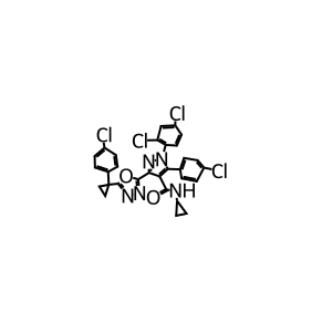 O=C(NC1CC1)c1c(-c2nnc(C3(c4ccc(Cl)cc4)CC3)o2)nn(-c2ccc(Cl)cc2Cl)c1-c1ccc(Cl)cc1